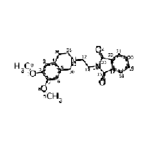 COc1cc2c(cc1OC)CN(CCN1C(=O)c3ccccc3C1=O)CC2